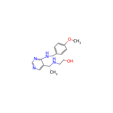 COc1ccc(CNc2ncncc2[C@@H](C)NCCO)cc1